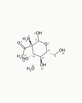 CC(=O)[C@]1(N)C(O)O[C@H](CO)[C@@H](O)[C@@H]1O.O